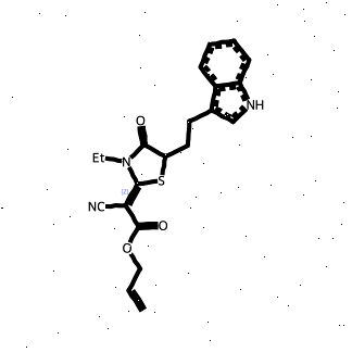 C=CCOC(=O)/C(C#N)=C1\SC(CCc2c[nH]c3ccccc23)C(=O)N1CC